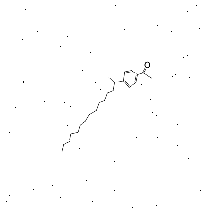 CCCCCCCCCCCCCC(C)c1ccc(C(C)=O)cc1